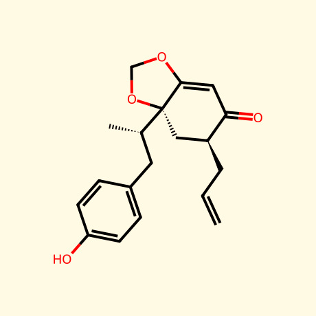 C=CC[C@H]1C[C@]2([C@@H](C)Cc3ccc(O)cc3)OCOC2=CC1=O